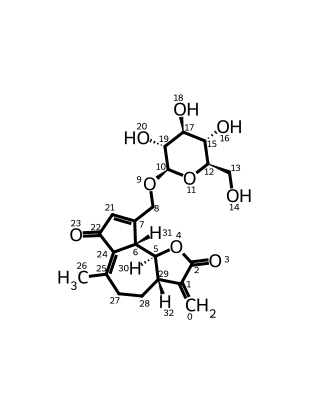 C=C1C(=O)O[C@@H]2[C@H]3C(CO[C@@H]4O[C@H](CO)[C@@H](O)[C@H](O)[C@H]4O)=CC(=O)C3=C(C)CC[C@@H]12